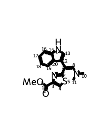 COC(=O)c1csc(/C(=C\N(C)C)c2c[nH]c3ccccc23)n1